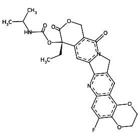 CC[C@@]1(OC(=O)NC(C)C)C(=O)OCc2c1cc1n(c2=O)Cc2cc3c4c(c(F)cc3nc2-1)OCCO4